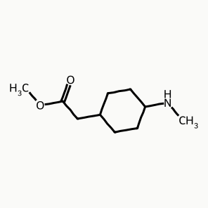 CNC1CCC(CC(=O)OC)CC1